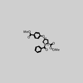 COOC(=O)[C@@H]1C[C@H](Oc2ccc(C(=O)OC)cc2)CN1C(=O)c1ccccc1